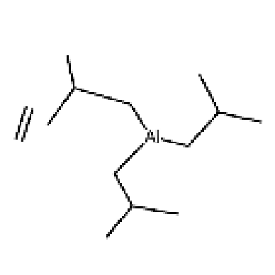 C=C.CC(C)[CH2][Al]([CH2]C(C)C)[CH2]C(C)C